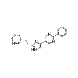 c1ccc(-c2ncc(-c3c[nH]c(CCc4cccnc4)n3)cn2)cc1